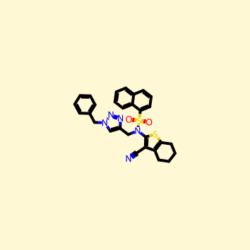 N#Cc1c(N(Cc2cn(Cc3ccccc3)nn2)S(=O)(=O)c2cccc3ccccc23)sc2c1CCCC2